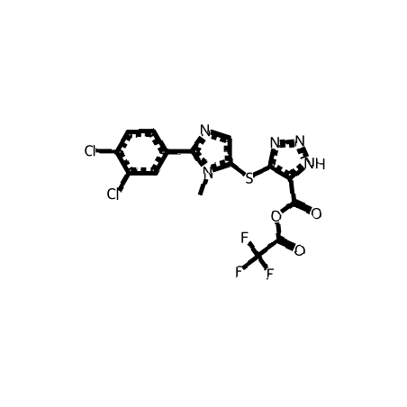 Cn1c(Sc2nn[nH]c2C(=O)OC(=O)C(F)(F)F)cnc1-c1ccc(Cl)c(Cl)c1